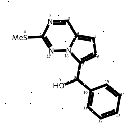 CSc1ncc2ccc(C(O)c3ccccc3)n2n1